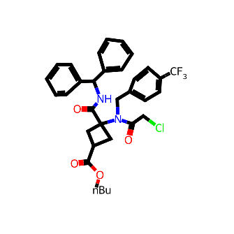 CCCCOC(=O)C1CC(C(=O)NC(c2ccccc2)c2ccccc2)(N(Cc2ccc(C(F)(F)F)cc2)C(=O)CCl)C1